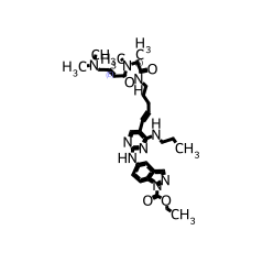 CCCNc1nc(Nc2ccc3c(cnn3C(=O)OCC)c2)ncc1C#CCCCNC(=O)[C@H](C)N(C)C(=O)/C=C/CN(C)C